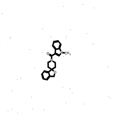 Cn1cc(C(=O)N2CCC3(CC2)OCc2ccccc23)c2ccccc21